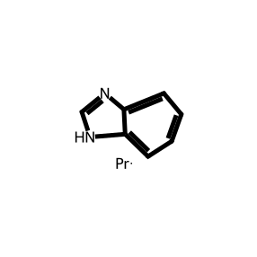 [Pr].c1ccc2[nH]cnc2c1